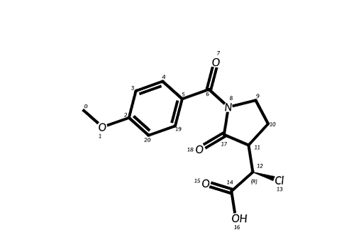 COc1ccc(C(=O)N2CCC([C@@H](Cl)C(=O)O)C2=O)cc1